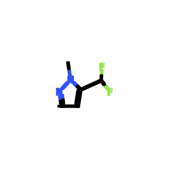 Cn1n[c]cc1C(F)F